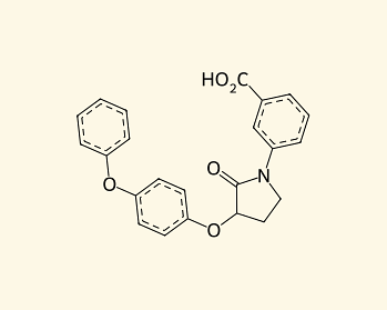 O=C(O)c1cccc(N2CCC(Oc3ccc(Oc4ccccc4)cc3)C2=O)c1